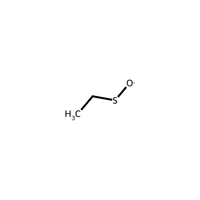 CCS[O]